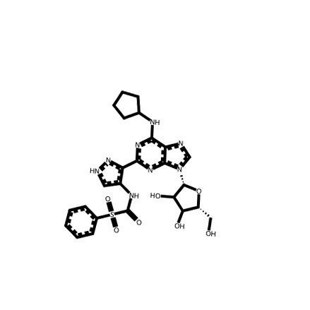 O=C(Nc1c[nH]nc1-c1nc(NC2CCCC2)c2ncn([C@@H]3O[C@H](CO)C(O)C3O)c2n1)S(=O)(=O)c1ccccc1